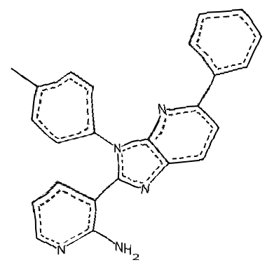 Cc1ccc(-n2c(-c3cccnc3N)nc3ccc(-c4ccccc4)nc32)cc1